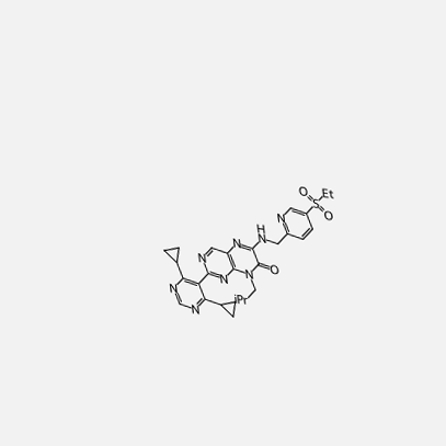 CCS(=O)(=O)c1ccc(CNc2nc3cnc(-c4c(C5CC5)ncnc4C4CC4)nc3n(CC(C)C)c2=O)nc1